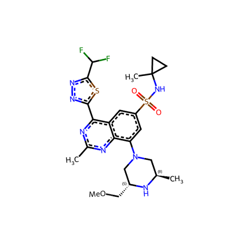 COC[C@@H]1CN(c2cc(S(=O)(=O)NC3(C)CC3)cc3c(-c4nnc(C(F)F)s4)nc(C)nc23)C[C@@H](C)N1